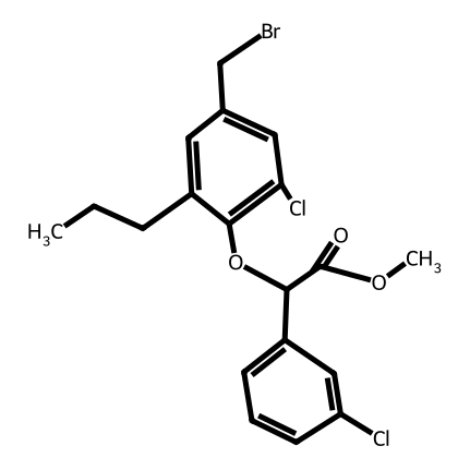 CCCc1cc(CBr)cc(Cl)c1OC(C(=O)OC)c1cccc(Cl)c1